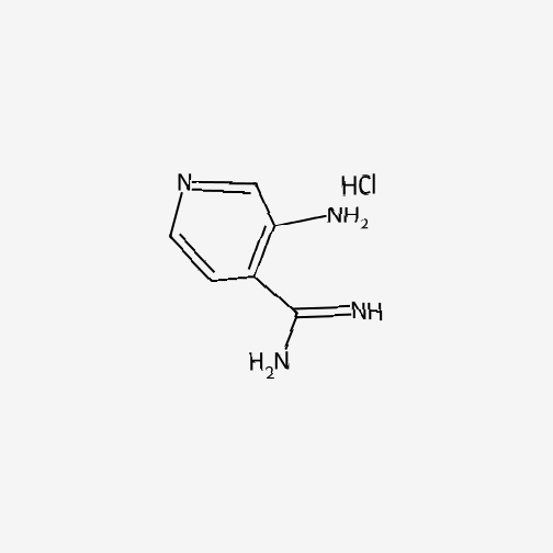 Cl.N=C(N)c1ccncc1N